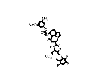 COc1cc(C)cc(OC(=O)NC2CCc3ccn4c3C2C(=O)CC(C(=O)NC(CC(=O)O)C(=O)COc2c(F)c(F)cc(F)c2F)C4)c1